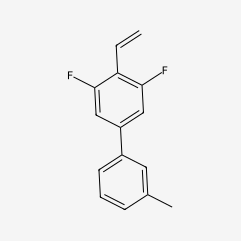 C=Cc1c(F)cc(-c2cccc(C)c2)cc1F